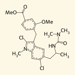 COC(=O)c1ccc(Cc2c(Cl)n(C)c3cc(Cl)c(CC(C)NC(=O)N(C)C)cc23)c(OC)c1